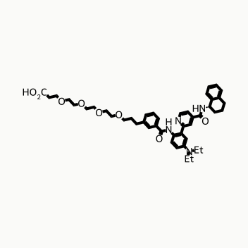 CCN(CC)c1ccc(NC(=O)c2cccc(CCCOCCOCCOCCOCCC(=O)O)c2)c(-c2cc(C(=O)N[C@H]3CCCc4ccccc43)ccn2)c1